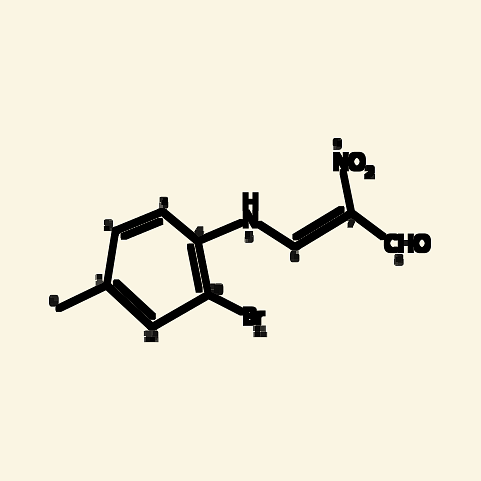 Cc1ccc(N/C=C(/C=O)[N+](=O)[O-])c(Br)c1